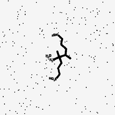 CCCCCCCCCCCCC(C)C(C)(N)CCCS(=O)(=O)O.O